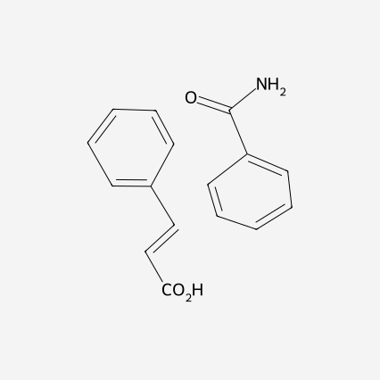 NC(=O)c1ccccc1.O=C(O)/C=C/c1ccccc1